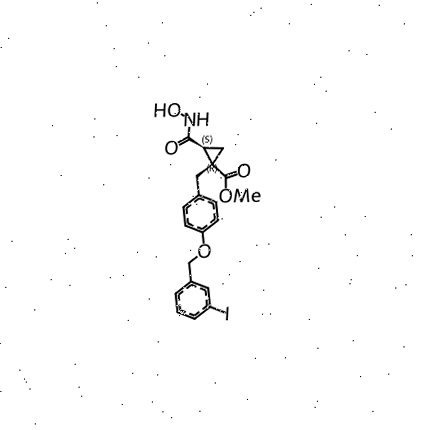 COC(=O)[C@@]1(Cc2ccc(OCc3cccc(I)c3)cc2)C[C@@H]1C(=O)NO